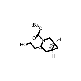 CC(C)(C)OC(=O)N1C[C@H]2C[C@H]2C[C@H]1CCO